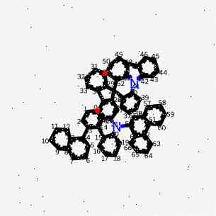 c1ccc(-c2cccc3ccccc23)c(-c2ccccc2N(c2ccc3c(c2)C2(c4ccccc4-3)c3ccccc3-n3c4ccccc4c4cccc2c43)c2cc3ccccc3c3ccccc23)c1